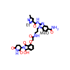 CCn1nc(C)cc1C(=O)Nc1nc2cc(C(N)=O)cc(OC)c2n1CCCNC(=O)COc1cccc2c1C(=O)N(C1CCC(=O)NC1=O)C2O